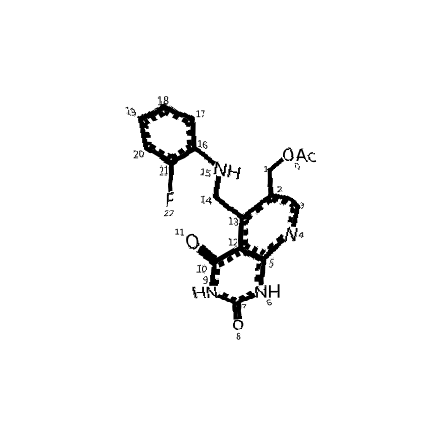 CC(=O)OCc1cnc2[nH]c(=O)[nH]c(=O)c2c1CNc1ccccc1F